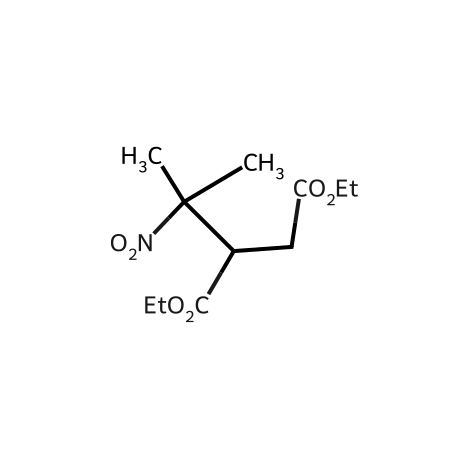 CCOC(=O)CC(C(=O)OCC)C(C)(C)[N+](=O)[O-]